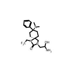 CN(C)[C@]1(c2ccccc2)CC[C@]2(CC1)CN(CC(N)O)C(=O)N2CC(F)(F)F